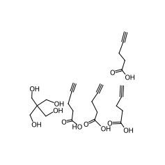 C#CCCC(=O)O.C#CCCC(=O)O.C#CCCC(=O)O.C#CCCC(=O)O.OCC(CO)(CO)CO